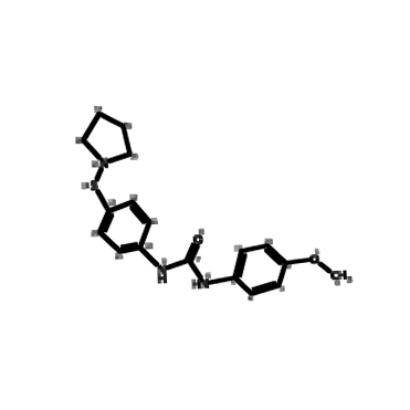 COc1ccc(NC(=O)Nc2ccc(SN3CCCC3)cc2)cc1